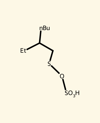 CCCCC(CC)CSOS(=O)(=O)O